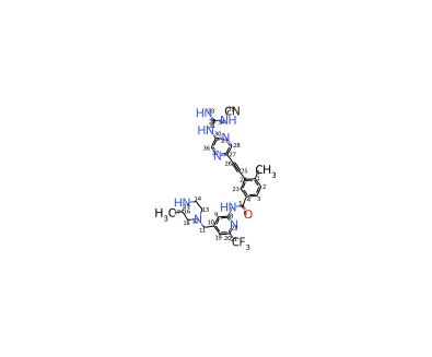 Cc1ccc(C(=O)Nc2cc(CN3CCNC(C)C3)cc(C(F)(F)F)n2)cc1C#Cc1cnc(NC(=N)NC#N)cn1